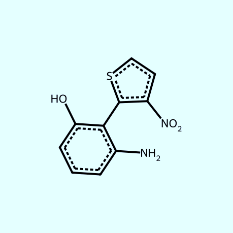 Nc1cccc(O)c1-c1sccc1[N+](=O)[O-]